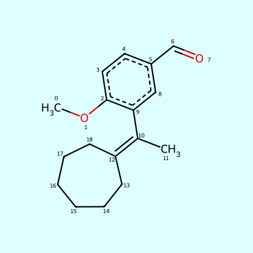 COc1ccc(C=O)cc1C(C)=C1CCCCCC1